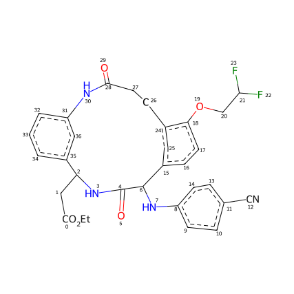 CCOC(=O)CC1NC(=O)C(Nc2ccc(C#N)cc2)c2ccc(OCC(F)F)c(c2)CCC(=O)Nc2cccc1c2